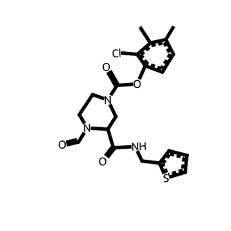 Cc1ccc(OC(=O)N2CCN(C=O)C(C(=O)NCc3cccs3)C2)c(Cl)c1C